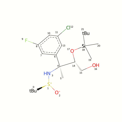 CC(C)(C)[S@+]([O-])N[C@@](C)(c1cc(F)cc(Cl)c1)[C@@H](CO)O[Si](C)(C)C(C)(C)C